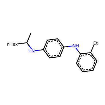 CCCCCCC(C)Nc1ccc(Nc2ccccc2CC)cc1